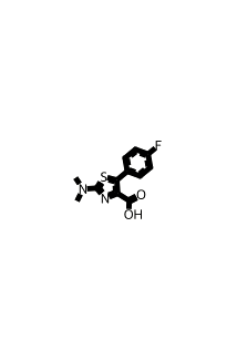 CN(C)c1nc(C(=O)O)c(-c2ccc(F)cc2)s1